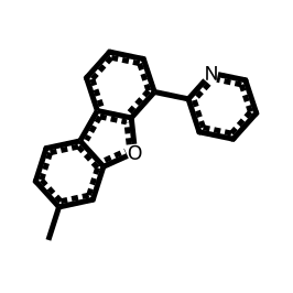 Cc1ccc2c(c1)oc1c(-c3ccccn3)cccc12